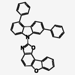 c1ccc(-c2ccc3c4c(-c5ccccc5)cccc4n(-c4nc5ccc6oc7ccccc7c6c5o4)c3c2)cc1